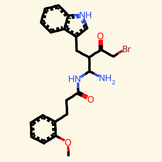 COc1ccccc1CCC(=O)NC(N)C(Cc1c[nH]c2ccccc12)C(=O)CBr